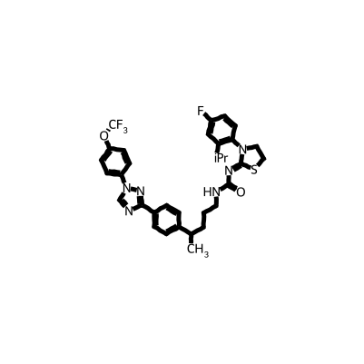 CC(C)c1cc(F)ccc1N1CCS/C1=N\C(=O)NCCCC(C)c1ccc(-c2ncn(-c3ccc(OC(F)(F)F)cc3)n2)cc1